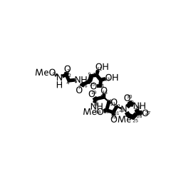 CONC(=O)CNC(=O)C1=CC(O)C(O)[C@@H](OC(C(N)=O)[C@H]2O[C@@H](n3ccc(=O)[nH]c3=O)C(OC)C2OC)O1